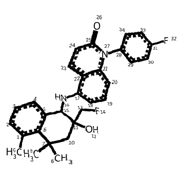 Cc1cccc2c1C(C)(C)CC(O)(CF)C2Nc1cccc2c1ccc(=O)n2-c1ccc(F)cc1